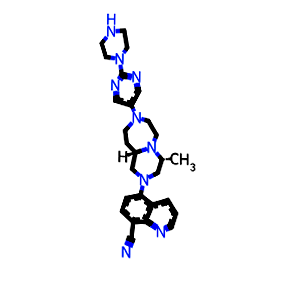 C[C@@H]1CN(c2ccc(C#N)c3ncccc23)C[C@@H]2CCN(c3cnc(N4CCNCC4)nc3)CCN21